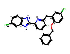 Clc1ccc(OCc2ccccc2)c(Cc2cccc(-c3nc4cc(Cl)ccc4[nH]3)n2)c1